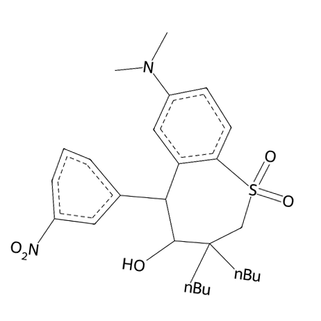 CCCCC1(CCCC)CS(=O)(=O)c2ccc(N(C)C)cc2C(c2cccc([N+](=O)[O-])c2)C1O